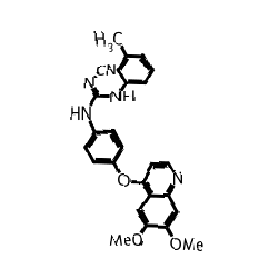 COc1cc2nccc(Oc3ccc(N/C(=N/C#N)Nc4cccc(C)c4)cc3)c2cc1OC